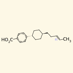 C/C=C/CC[C@H]1CC[C@H](c2ccc(C(=O)O)cc2)CC1